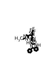 CCc1ncc(-c2sc(C(F)(F)F)nc2-c2nnc(NC3N=C(c4ccccc4)c4ccccc4NC3=O)o2)cn1